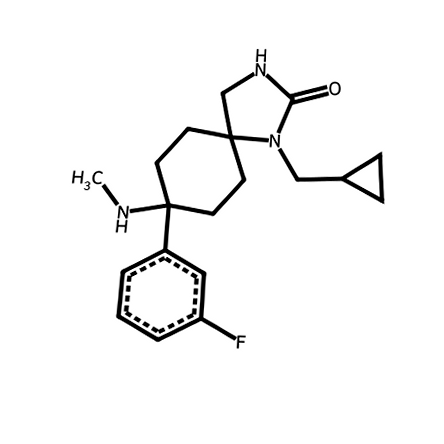 CNC1(c2cccc(F)c2)CCC2(CC1)CNC(=O)N2CC1CC1